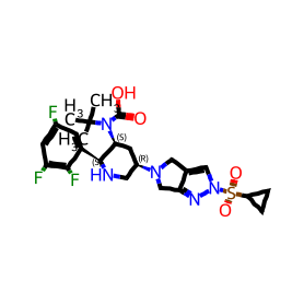 CC(C)(C)N(C(=O)O)[C@H]1C[C@@H](N2Cc3cn(S(=O)(=O)C4CC4)nc3C2)CN[C@H]1c1cc(F)cc(F)c1F